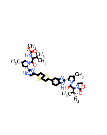 COC(=O)N[C@H](C(=O)N1C[C@@H](C)C[C@H]1c1nc(-c2cc3sc(-c4ccc5[nH]c([C@@H]6C[C@H](C)CN6C(=O)[C@H](C(C)C)N6CCOC6=O)nc5c4)cc3s2)c[nH]1)C(C)C